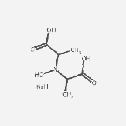 CC(C(=O)O)N(O)C(C)C(=O)O.[NaH]